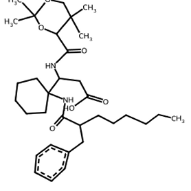 CCCCCCC(Cc1ccccc1)C(=O)NC1(C(CC(=O)O)NC(=O)C2OC(C)(C)OCC2(C)C)CCCCC1